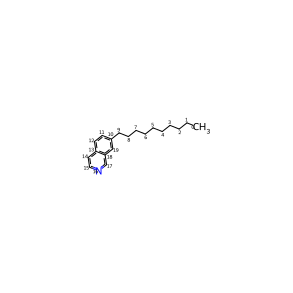 CCCCCCCCCCc1ccc2ccncc2c1